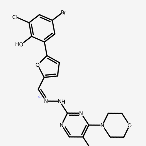 Oc1c(Cl)cc(Br)cc1-c1ccc(/C=N\Nc2ncc(F)c(N3CCOCC3)n2)o1